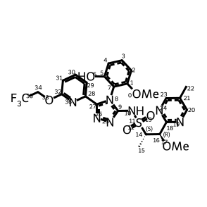 COc1cccc(O)c1-n1c(NS(=O)(=O)[C@@H](C)[C@H](OC)c2ncc(C)cn2)nnc1C1=C=C=CC(OCC(F)(F)F)=N1